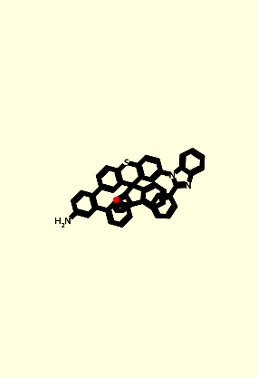 Nc1ccc(-c2ccc3c(c2)C2(c4cc(-n5c(-c6ccccc6)nc6ccccc65)ccc4S3)c3ccccc3-c3ccccc32)c(-c2ccccc2)c1